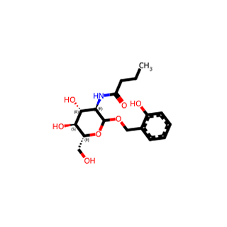 CCCC(=O)N[C@H]1C(OCc2ccccc2O)O[C@H](CO)[C@@H](O)[C@@H]1O